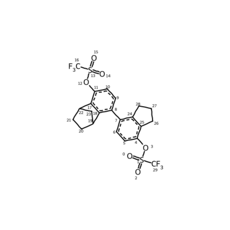 O=S(=O)(Oc1ccc(-c2ccc(OS(=O)(=O)C(F)(F)F)c3c2C2CCC3C2)c2c1CCC2)C(F)(F)F